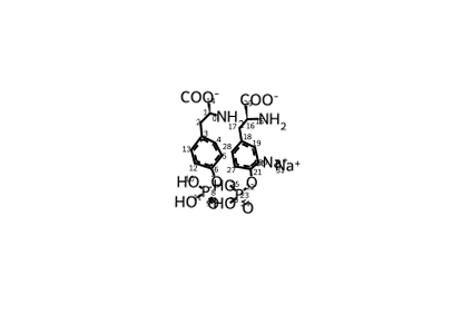 N[C@@H](Cc1ccc(OP(=O)(O)O)cc1)C(=O)[O-].N[C@@H](Cc1ccc(OP(=O)(O)O)cc1)C(=O)[O-].[Na+].[Na+]